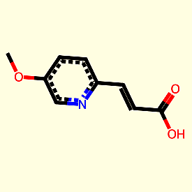 COc1ccc(C=CC(=O)O)nc1